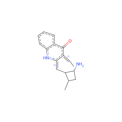 C/C=c1/c(=O)c2ccccc2[nH]/c1=C/C1C(C)CC1N